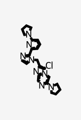 Clc1c(Cn2ccnc2-c2cccc(N3CCCC3)n2)nc2cnc(N3CCCC3)cn12